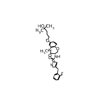 CN1C(=O)[C@@H](NC(=O)n2cc(Cc3ccccc3F)cn2)COc2ccc(OCCCC(C)(C)O)cc21